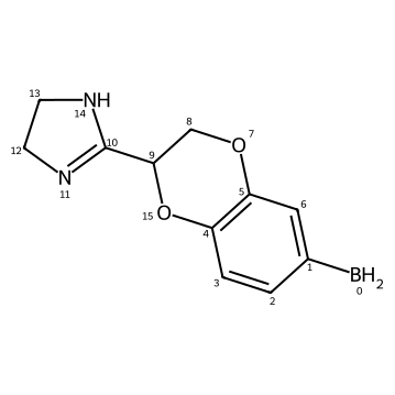 Bc1ccc2c(c1)OCC(C1=NCCN1)O2